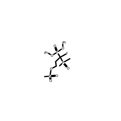 CC(C)OP(=O)(OC(C)C)C(F)(CCOS(C)(=O)=O)P(C)(C)=O